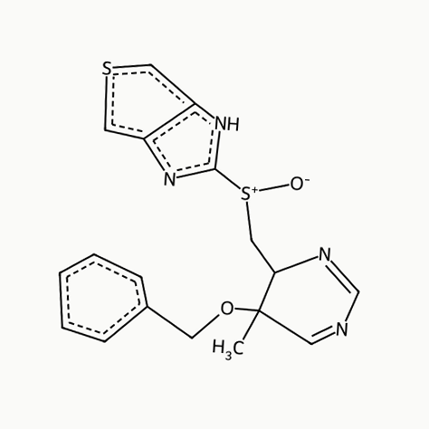 CC1(OCc2ccccc2)C=NC=NC1C[S+]([O-])c1nc2cscc2[nH]1